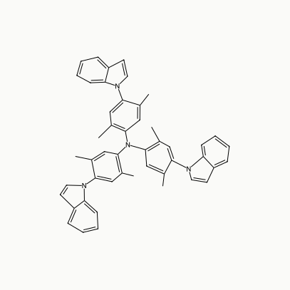 Cc1cc(-n2ccc3ccccc32)c(C)cc1N(c1cc(C)c(-n2ccc3ccccc32)cc1C)c1cc(C)c(-n2ccc3ccccc32)cc1C